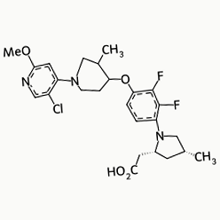 COc1cc(N2CCC(Oc3ccc(N4C[C@H](C)C[C@@H]4CC(=O)O)c(F)c3F)C(C)C2)c(Cl)cn1